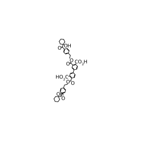 O=C(O)c1cc(-c2ccc(C(=O)O)c(C(=O)OCCc3ccc(C(=O)C4(O)CCCCC4)cc3)c2)ccc1C(=O)OCCc1ccc(C(=O)C2(O)CCCCC2)cc1